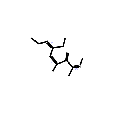 C=C(/C(C)=C\C(=C/CC)CC)/C(C)=N\C